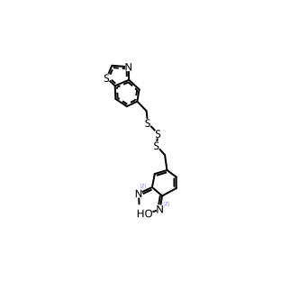 C/N=C1/C=C(CSSSCc2ccc3scnc3c2)C=C/C1=N/O